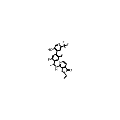 CCN1Cc2c(ccnc2N[C@@H](C)c2cc(F)c(-c3cc(C(F)(F)F)ncc3O)cc2F)C1=O